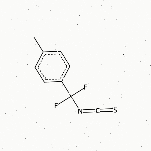 Cc1ccc(C(F)(F)N=C=S)cc1